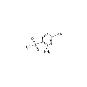 CS(=O)(=O)c1ccc(C#N)nc1N